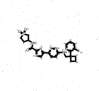 O=C(NC1CCS(=O)(=O)C1)c1nc(-c2ccc(NCC3(c4ncccc4F)CCC3)nn2)[c]s1